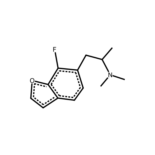 CC(Cc1ccc2ccoc2c1F)N(C)C